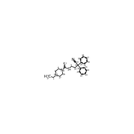 CCN1CCN(C(=S)SCCC(C#N)(c2ccccc2)c2ccccc2)CC1